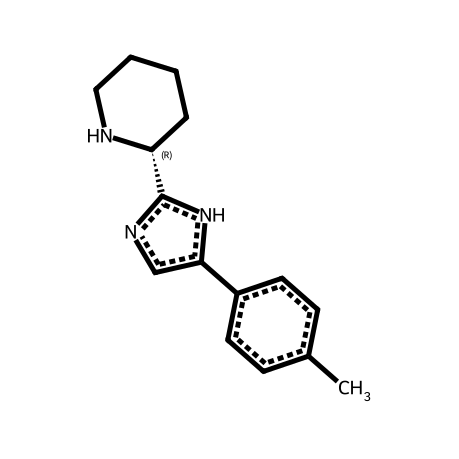 Cc1ccc(-c2cnc([C@H]3CCCCN3)[nH]2)cc1